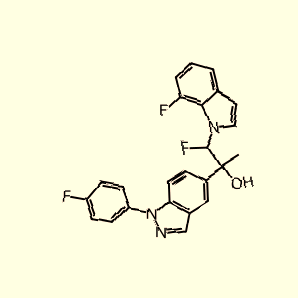 CC(O)(c1ccc2c(cnn2-c2ccc(F)cc2)c1)C(F)n1ccc2cccc(F)c21